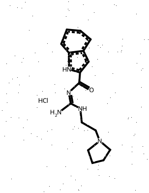 Cl.NC(=NC(=O)c1cc2ccccc2[nH]1)NCCN1CCCC1